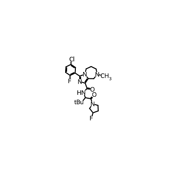 CN1CCCn2c(-c3cc(Cl)ccc3F)nc(C(=O)NC(C(=O)N3CCC(F)C3)C(C)(C)C)c2C1